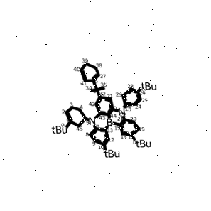 CC(C)(C)C1=CCCC(N2c3ccc(C(C)(C)C)cc3B3c4cc(C(C)(C)C)ccc4N(c4ccc(C(C)(C)C)cc4)c4cc(C(C)(C)C5=CCCC=C5)cc2c43)C1